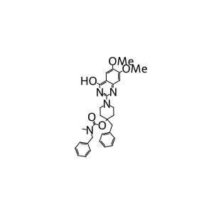 COc1cc2nc(N3CCC(Cc4ccccc4)(OC(=O)N(C)Cc4ccccc4)CC3)nc(O)c2cc1OC